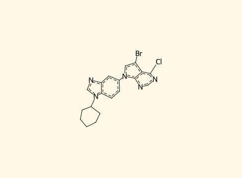 Clc1ncnc2c1c(Br)cn2-c1ccc2c(c1)ncn2C1CCCCC1